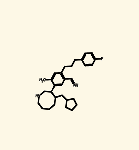 Cc1cc(CCCc2ccc(F)cc2)c(C=N)cc1[C@@H]1CNCCCCC1CC1CCCC1